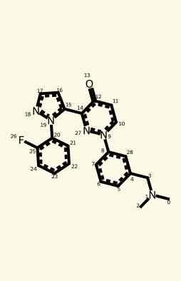 CN(C)Cc1cccc(-n2ccc(=O)c(-c3ccnn3-c3ccccc3F)n2)c1